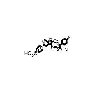 CCc1oc2cnc(N3CCN(C(=O)O)CC3)cc2c1N(C)c1nc(-c2ccc(F)cc2)c(C#N)s1